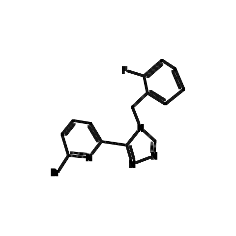 Fc1ccccc1Cn1cnnc1-c1cccc(Br)n1